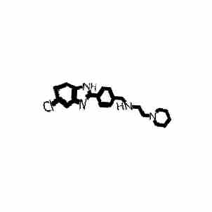 Clc1ccc2[nH]c(-c3ccc(CNCCN4CCCCC4)cc3)nc2c1